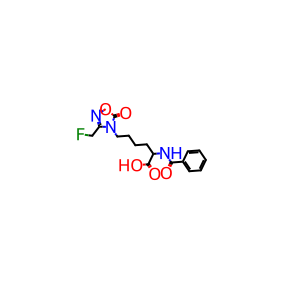 O=C(NC(CCCCn1c(CF)noc1=O)C(=O)O)c1ccccc1